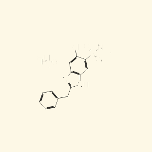 Cl.NS(=O)(=O)c1cc2[nH]c(Cc3ccccc3)nc2cc1Cl.O